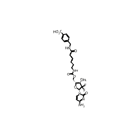 Nc1ccn([C@@H]2O[C@H](COC(=O)NCCCCCC(=O)NCc3ccc(C(=O)O)cc3)[C@H](O)C2(F)F)c(=O)n1